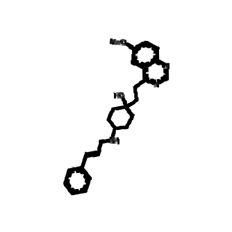 COc1ccc2ncnc(CCC3(O)CCC(NCC=Cc4ccccc4)CC3)c2c1